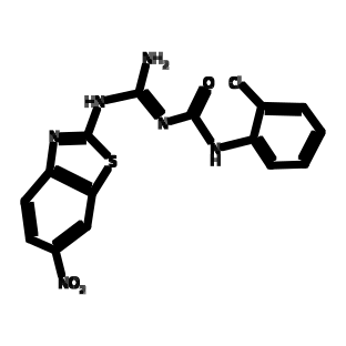 NC(=NC(=O)Nc1ccccc1Cl)Nc1nc2ccc([N+](=O)[O-])cc2s1